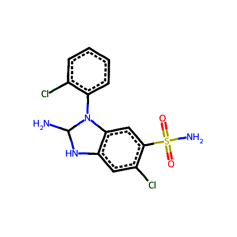 NC1Nc2cc(Cl)c(S(N)(=O)=O)cc2N1c1ccccc1Cl